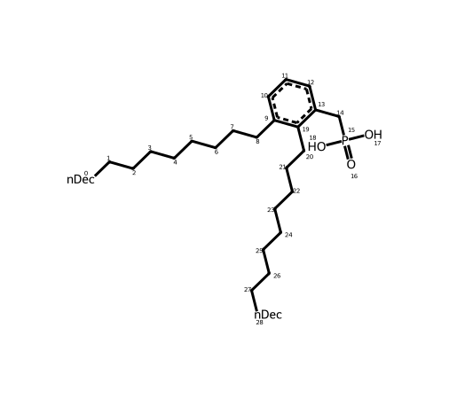 CCCCCCCCCCCCCCCCCCc1cccc(CP(=O)(O)O)c1CCCCCCCCCCCCCCCCCC